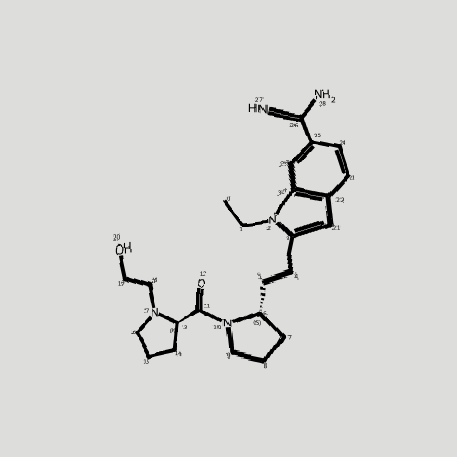 CCn1c(CC[C@@H]2CCCN2C(=O)[C@H]2CCCN2CCO)cc2ccc(C(=N)N)cc21